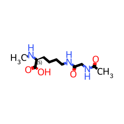 CN[C@@H](CCCCNC(=O)CNC(C)=O)C(=O)O